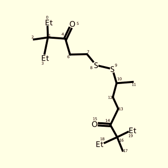 CCC(C)(CC)C(=O)CCSSC(C)CCC(=O)C(C)(CC)CC